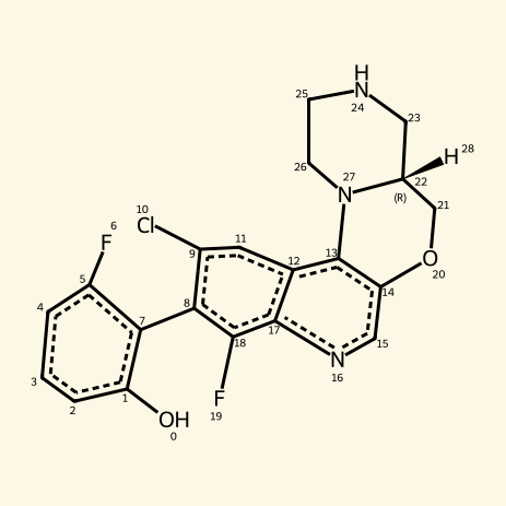 Oc1cccc(F)c1-c1c(Cl)cc2c3c(cnc2c1F)OC[C@H]1CNCCN31